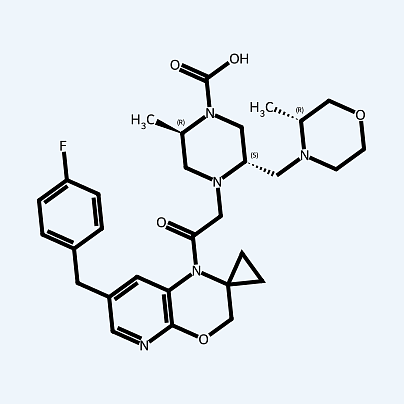 C[C@@H]1COCCN1C[C@H]1CN(C(=O)O)[C@H](C)CN1CC(=O)N1c2cc(Cc3ccc(F)cc3)cnc2OCC12CC2